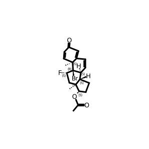 CC(=O)O[C@H]1CC[C@H]2[C@@H]3C=CC4=CC(=O)C=C[C@]4(C)[C@@]3(Br)[C@@H](F)C[C@]12C